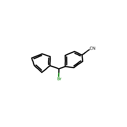 N#Cc1ccc(C(Br)c2ccccc2)cc1